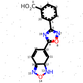 O=C(O)c1cccc(-c2noc(C3=CC4NON=C4C=C3)n2)c1